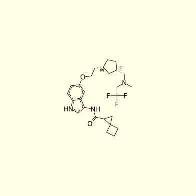 CN(C[C@H]1CC[C@@H](CCOc2ccc3[nH]cc(NC(=O)C4CC45CCC5)c3c2)C1)CC(F)(F)F